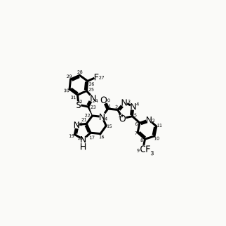 O=C(c1nnc(-c2cc(C(F)(F)F)ccn2)o1)N1CCc2[nH]cnc2[C@H]1c1nc2c(F)cccc2s1